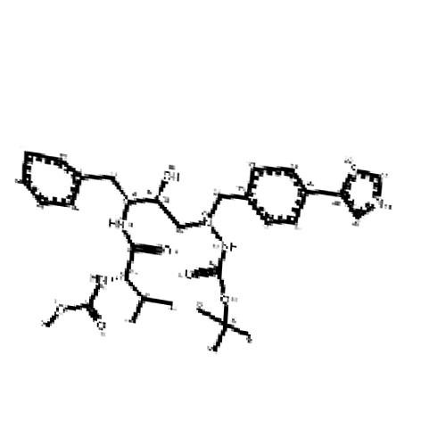 COC(=O)N[C@H](C(=O)N[C@@H](Cc1ccccc1)[C@@H](O)CN(Cc1ccc(-c2cncs2)cc1)NC(=O)OC(C)(C)C)C(C)C